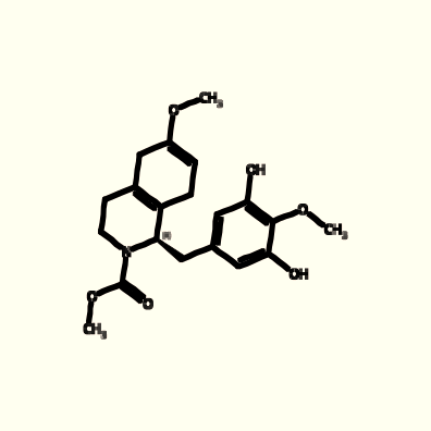 COC(=O)N1CCC2=C(CC=C(OC)C2)[C@H]1Cc1cc(O)c(OC)c(O)c1